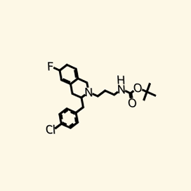 CC(C)(C)OC(=O)NCCCN1CC2=CCC(F)C=C2CC1Cc1ccc(Cl)cc1